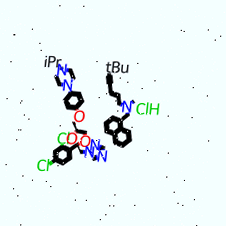 CC(C)N1CCN(c2ccc(OC[C@H]3CO[C@](Cn4cncn4)(c4ccc(Cl)cc4Cl)O3)cc2)CC1.CN(C/C=C/C#CC(C)(C)C)Cc1cccc2ccccc12.Cl